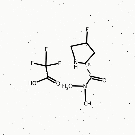 CN(C)C(=O)[C@H]1CC(F)CN1.O=C(O)C(F)(F)F